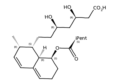 CCC[C@H](C)C(=O)O[C@H]1CCC=C2C=C[C@H](C)[C@H](CC[C@@H](O)C[C@@H](O)CC(=O)O)[C@H]21